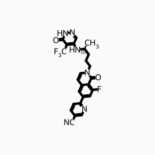 C[C@@H](CCCn1ccc2cc(-c3ccc(C#N)cn3)cc(F)c2c1=O)Nc1cn[nH]c(=O)c1C(F)(F)F